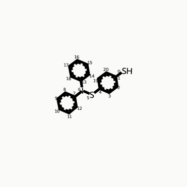 Sc1ccc(SI(c2ccccc2)c2ccccc2)cc1